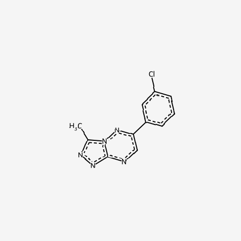 Cc1nnc2ncc(-c3cccc(Cl)c3)nn12